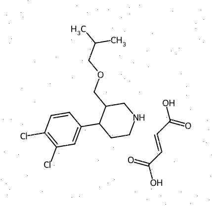 CC(C)COCC1CNCCC1c1ccc(Cl)c(Cl)c1.O=C(O)C=CC(=O)O